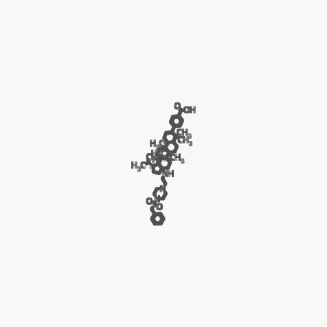 C=C(C)[C@@H]1CC[C@]2(NCCN3CCN(S(=O)(=O)Cc4ccccc4)CC3)CC[C@]3(C)[C@H](CCC4[C@@]5(C)CC=C(c6ccc(C(=O)O)cc6)C(C)(C)C5CC[C@]43C)C12